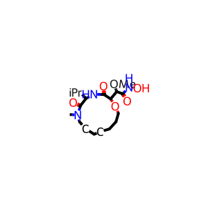 COC(C(=O)NO)C1OCCCCCCCN(C)C(=O)C(C(C)C)NC1=O